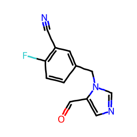 N#Cc1cc(Cn2cncc2C=O)ccc1F